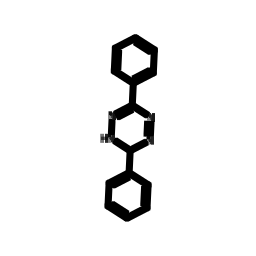 c1ccc(C2=NNC(c3ccccc3)N=N2)cc1